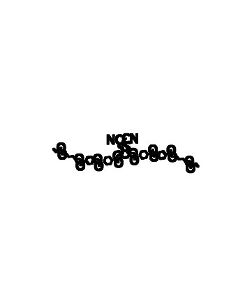 C=CC(=O)OCCCCOC(=O)c1ccc(OC(=O)[C@H]2CC[C@H](C(=O)Oc3ccc(OC(=O)[C@H]4CC[C@H](C(=O)Oc5ccc(C(=O)OCCCCOC(=O)C=C)cc5)CC4)c4c3SC(=C(C#N)C#N)S4)CC2)cc1